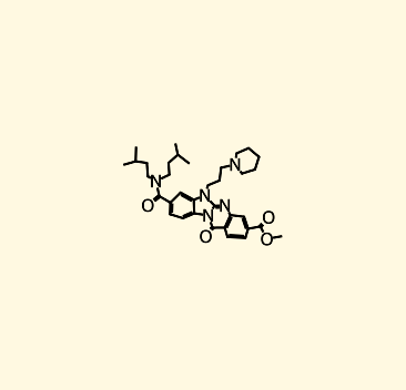 COC(=O)c1ccc2c(=O)n3c4ccc(C(=O)N(CCC(C)C)CCC(C)C)cc4n(CCCN4CCCCC4)c3nc2c1